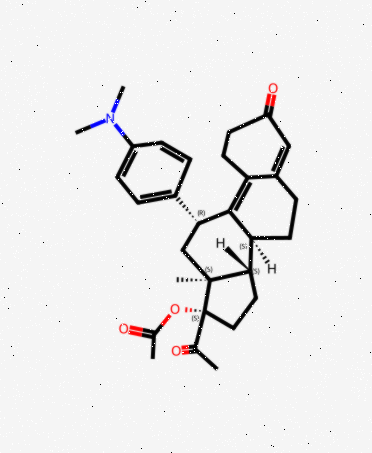 CC(=O)O[C@@]1(C(C)=O)CC[C@H]2[C@@H]3CCC4=CC(=O)CCC4=C3[C@@H](c3ccc(N(C)C)cc3)C[C@@]21C